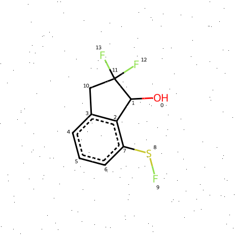 OC1c2c(cccc2SF)CC1(F)F